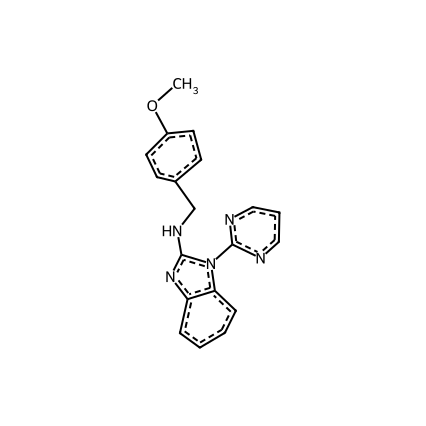 COc1ccc(CNc2nc3ccccc3n2-c2ncccn2)cc1